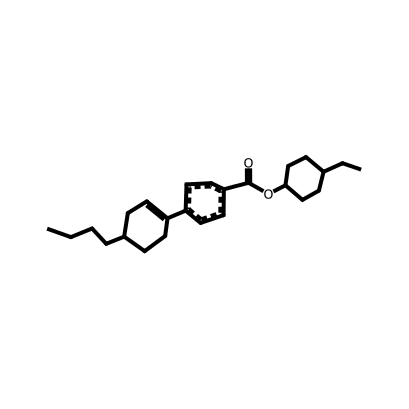 CCCCC1CC=C(c2ccc(C(=O)OC3CCC(CC)CC3)cc2)CC1